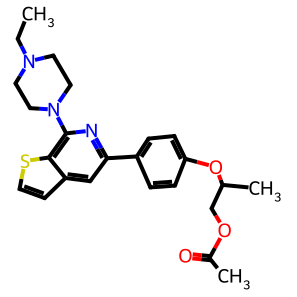 CCN1CCN(c2nc(-c3ccc(OC(C)COC(C)=O)cc3)cc3ccsc23)CC1